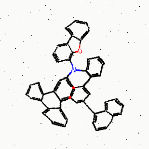 c1cc(-c2ccccc2N(c2ccc3c4ccccc4c4ccccc4c3c2)c2cccc3c2oc2ccccc23)cc(-c2cccc3ccccc23)c1